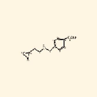 COc1ccc(COCCC2CO2)cc1